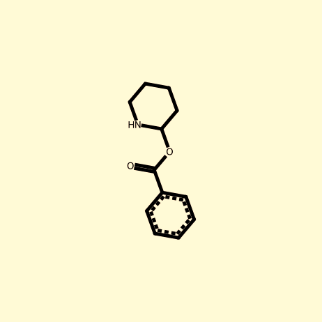 O=C(OC1CCCCN1)c1ccccc1